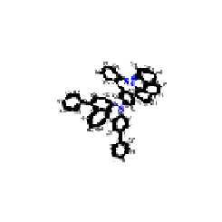 c1ccc(-c2ccc(N(c3cccc(-c4ccccc4-n4c5cccc6ccc7cccc4c7c65)c3)c3ccc(-c4ccccc4)c4ccccc34)cc2)cc1